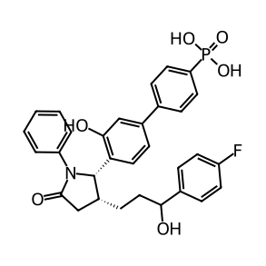 O=C1C[C@@H](CCC(O)c2ccc(F)cc2)[C@@H](c2ccc(-c3ccc(P(=O)(O)O)cc3)cc2O)N1c1ccccc1